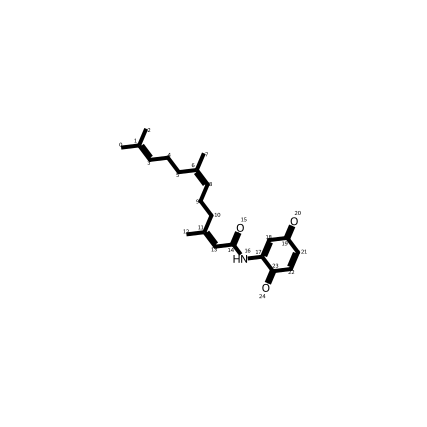 CC(C)=CCCC(C)=CCCC(C)=CC(=O)NC1=CC(=O)C=CC1=O